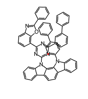 c1ccc(-c2ccc(-n3c4ccccc4c4ccc5c6ccccc6n(-c6nc(-c7cccc(-c8ccccc8)c7)nc(-c7cccc8nc(-c9ccccc9)oc78)n6)c5c43)cc2)cc1